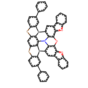 c1ccc(-c2ccc3c(c2)B2c4cc5c(oc6ccccc65)c5c4N4c6c2c(cc2c6B(c6cc(-c7ccccc7)ccc6S2)c2cc6c(oc7ccccc76)c(c24)O5)S3)cc1